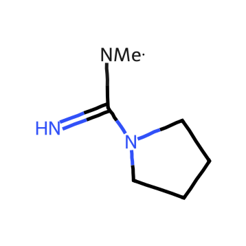 C[N]C(=N)N1CCCC1